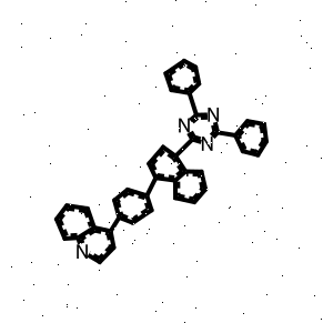 c1ccc(-c2nc(-c3ccccc3)nc(-c3ccc(-c4ccc(-c5ccnc6ccccc56)cc4)c4ccccc34)n2)cc1